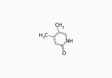 Cc1c[nH]c(=O)cc1C